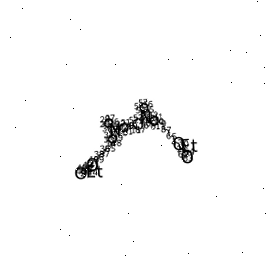 CCC1(COCCCCCCc2ccc(N(C3=CCC=C(c4ccc(N(c5ccccc5)c5ccc(CCCCCCOCC6(CC)COC6)cc5)cc4)C=C3)c3ccccc3)cc2)COC1